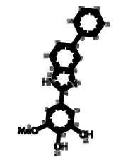 COc1cc(-c2nc3cc(-c4ccccc4)ccc3[nH]2)cc(O)c1O